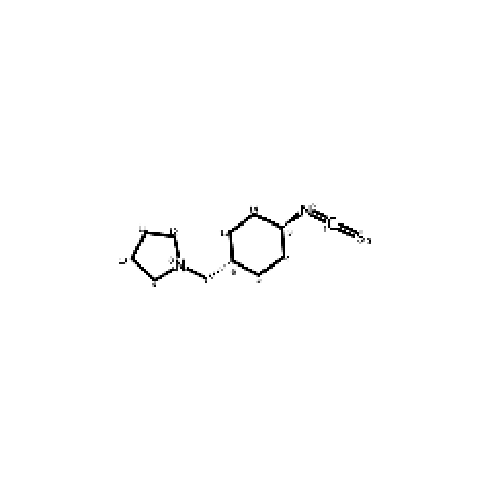 S=C=N[C@H]1CC[C@H](CN2CCCC2)CC1